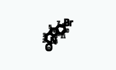 O=C1C=CC2=Cc3cc(Br)ccc3C2=N1